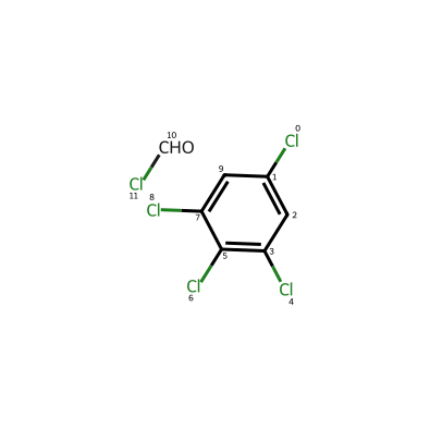 Clc1cc(Cl)c(Cl)c(Cl)c1.O=CCl